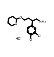 CNCC(CCOC1CCCCO1)c1ccc(Cl)c(Cl)c1.Cl